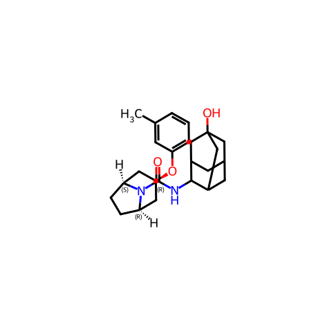 Cc1cccc(O[C@H]2C[C@H]3CC[C@@H](C2)N3C(=O)NC2C3CC4CC2CC(O)(C4)C3)c1